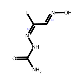 NC(=O)N/N=C(I)\C=N\O